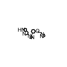 c1cc(OCCn2cccn2)cc(-c2nccn2-c2cnc3[nH]ccc3c2)c1